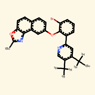 [2H]C([2H])([2H])c1cnc(-c2cccc(Br)c2Oc2ccc3ccc4oc(C(C)(C)C)nc4c3c2)cc1C([2H])([2H])C(C)(C)C